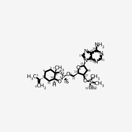 C=C(C)[C@@H]1CC[C@]2(C)S[P@@](=S)(OC[C@H]3O[C@@H](n4cnc5c(N)ncnc54)CC3O[Si](C)(C)C(C)(C)C)O[C@H]2C1